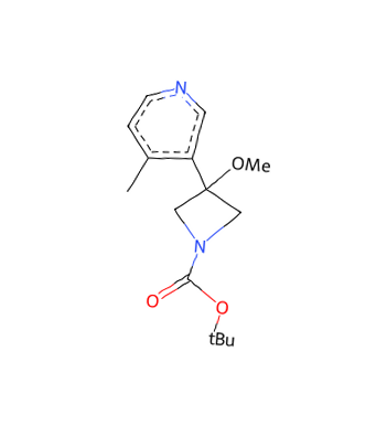 COC1(c2cnccc2C)CN(C(=O)OC(C)(C)C)C1